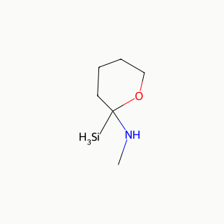 CNC1([SiH3])CCCCO1